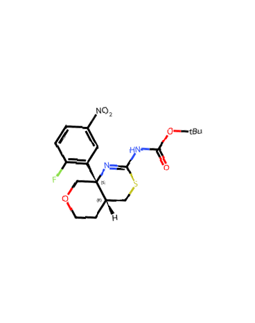 CC(C)(C)OC(=O)NC1=N[C@@]2(c3cc([N+](=O)[O-])ccc3F)COCC[C@H]2CS1